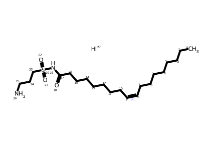 CCCCCCCC/C=C\CCCCCCCC(=O)NS(=O)(=O)CCCN.I